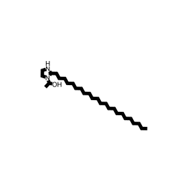 CCCCCCCCCCCCCCCCCCCCCCCC1NCCN1C(C)O